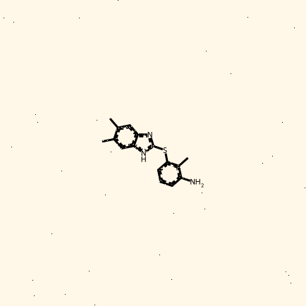 Cc1cc2nc(Sc3cccc(N)c3C)[nH]c2cc1C